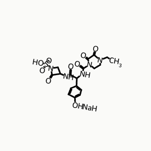 CCN1CCN(C(=O)NC(C(=O)NC2CN(S(=O)(=O)O)C2=O)c2ccc(O)cc2)C(=O)C1=O.[NaH]